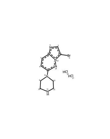 Brc1cnc2ccc(N3CCNCC3)nn12.Cl.Cl